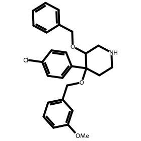 COc1cccc(COC2(c3ccc(Cl)cc3)CCNCC2OCc2ccccc2)c1